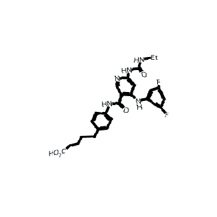 CCNC(=O)Nc1cc(Nc2cc(F)cc(F)c2)c(C(=O)Nc2ccc(CCCCC(=O)O)cc2)cn1